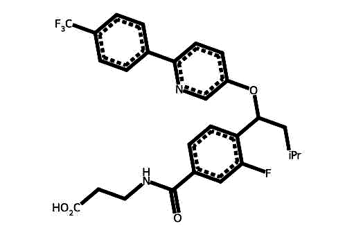 CC(C)CC(Oc1ccc(-c2ccc(C(F)(F)F)cc2)nc1)c1ccc(C(=O)NCCC(=O)O)cc1F